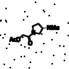 CN[C@H]1CCN(C(=O)COC(C)=O)C1